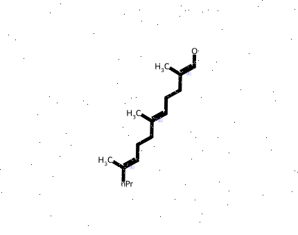 CCC/C(C)=C/CC/C(C)=C/CC/C(C)=C/[O]